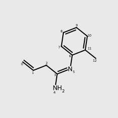 C=CC/C(N)=N\c1ccccc1C